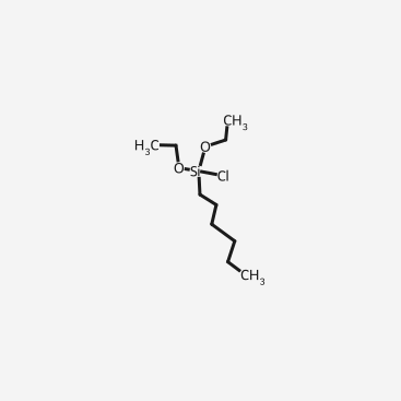 CCCCCC[Si](Cl)(OCC)OCC